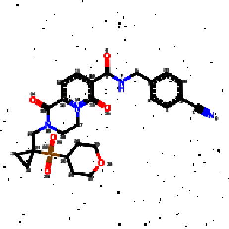 N#Cc1ccc(CNC(=O)c2ccc3n(c2=O)CCN(CC2(S(=O)(=O)C4CCOCC4)CC2)C3=O)cc1